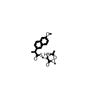 COC(=O)[C@H](CSC(=O)C(C)c1ccc2cc(OC)ccc2c1)NC(C)=O